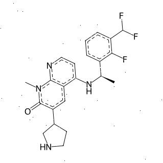 C[C@@H](Nc1ccnc2c1cc(C1CCNC1)c(=O)n2C)c1cccc(C(F)F)c1F